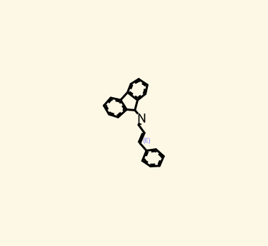 C(/C=C/c1ccccc1)=NC1c2ccccc2-c2ccccc21